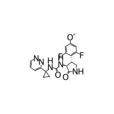 COc1cc(F)c([C@@H]2CNC(=O)[C@H]2NC(=O)NC2(c3cccnn3)CC2)c(F)c1